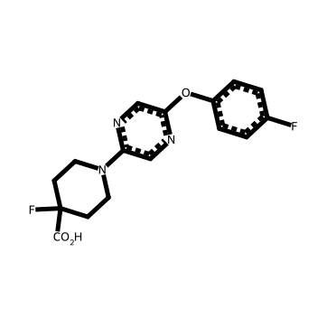 O=C(O)C1(F)CCN(c2cnc(Oc3ccc(F)cc3)cn2)CC1